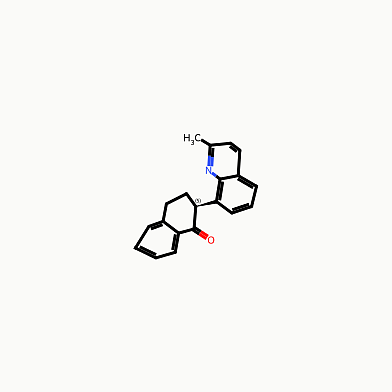 Cc1ccc2cccc([C@@H]3CCc4ccccc4C3=O)c2n1